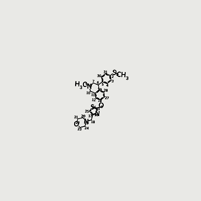 CSc1ccc(C2CN(C)Cc3cc(Oc4nc(CN5CCOCC5)cs4)ccc32)cc1